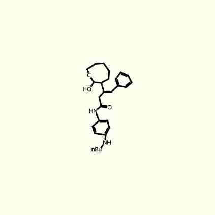 CCCCNc1ccc(NC(=O)CC(Cc2ccccc2)C2CCCCCCC2O)cc1